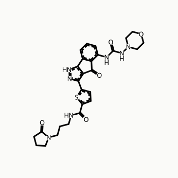 O=C(Nc1cccc2c1C(=O)c1c(-c3ccc(C(=O)NCCCN4CCCC4=O)s3)n[nH]c1-2)NN1CCOCC1